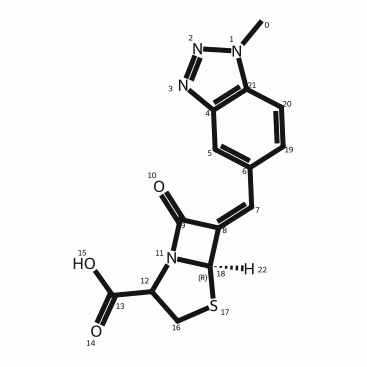 Cn1nnc2cc(C=C3C(=O)N4C(C(=O)O)CS[C@H]34)ccc21